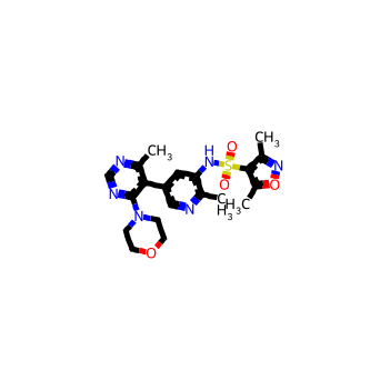 Cc1ncc(-c2c(C)ncnc2N2CCOCC2)cc1NS(=O)(=O)c1c(C)noc1C